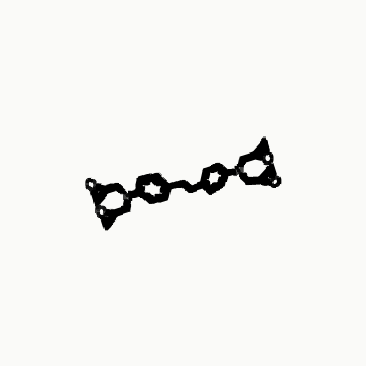 c1cc(N(CC2CO2)CC2CO2)ccc1CCc1ccc(N(CC2CO2)CC2CO2)cc1